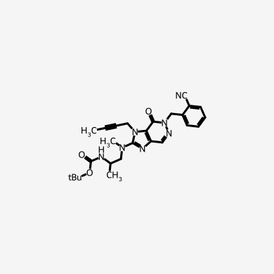 CC#CCn1c(N(C)CC(C)NC(=O)OC(C)(C)C)nc2cnn(Cc3ccccc3C#N)c(=O)c21